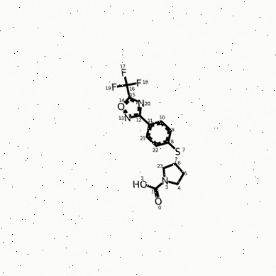 O=C(O)N1CC[C@@H](Sc2ccc(-c3noc(C(F)(F)F)n3)cc2)C1